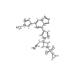 Cn1cc(-c2cn3nccc3c(-c3cnn(C4(CC#N)CN(S(=O)(=O)C5CC5)C4)c3)n2)cn1